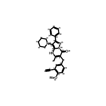 C#Cc1cc(Cc2c(C)[nH]c3c(N4CCCCC4)c(-c4ccccc4)nn3c2=O)ccc1OC